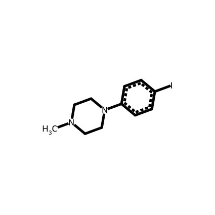 CN1CCN(c2ccc(I)cc2)CC1